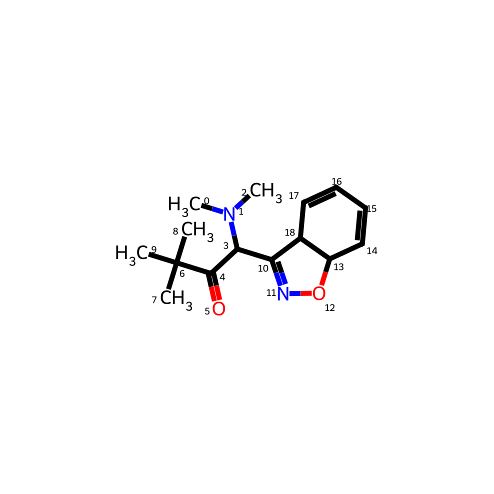 CN(C)C(C(=O)C(C)(C)C)C1=NOC2C=CC=CC12